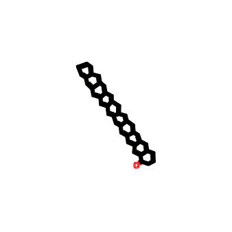 O=C1CC=Cc2cc3cc4cc5cc6cc7cc8cc9cc%10ccccc%10cc9cc8cc7cc6cc5cc4cc3cc21